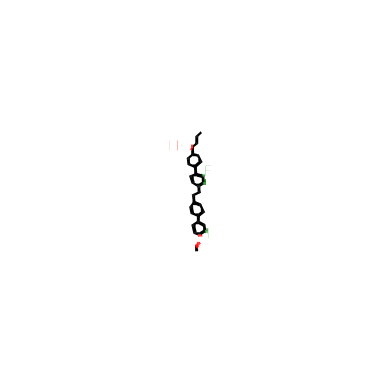 CCCC(O)C1CC=C(c2ccc(CCc3ccc(-c4ccc(OCC)c(F)c4)cc3)c(F)c2F)CC1